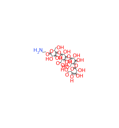 NCCO[C@@H]1OC(CO)[C@@H](O[C@@H]2OC(C(=O)O)[C@@H](O)[C@H](O[C@@H]3OC(CO)[C@@H](O[C@@H]4OC(C(=O)O)[C@@H](O)[C@H](O)C4O)[C@H](O)C3O)C2O)[C@H](O)C1O